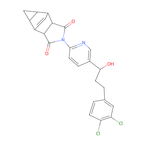 O=C1C2C3C=CC(C4CC34)C2C(=O)N1c1ccc(C(O)CCc2ccc(Cl)c(Cl)c2)cn1